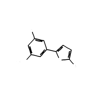 CC(=O)c1ccc(-c2cc(F)cc(C=O)c2)s1